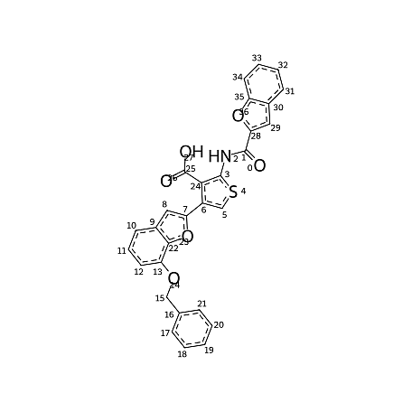 O=C(Nc1scc(-c2cc3cccc(OCc4ccccc4)c3o2)c1C(=O)O)c1cc2ccccc2o1